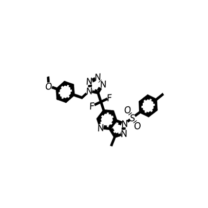 COc1ccc(Cn2nnnc2C(F)(F)c2cnc3c(C)nn(S(=O)(=O)c4ccc(C)cc4)c3c2)cc1